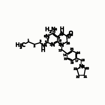 CCCCNc1nc(N)c2c(n1)N(Cc1ccc(CN3CCCC3)cc1)CC(=O)N2